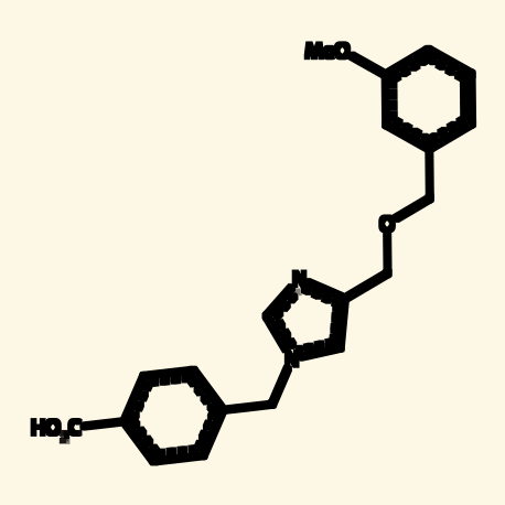 COc1cccc(COCc2cn(Cc3ccc(C(=O)O)cc3)cn2)c1